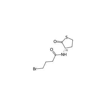 O=C(CCCBr)N[C@H]1CCSC1=O